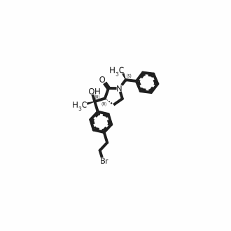 C[C@@H](c1ccccc1)N1CC[C@H]([C@@](C)(O)c2ccc(CCBr)cc2)C1=O